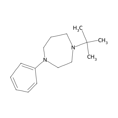 CC(C)(C)N1CCCN(c2ccccc2)CC1